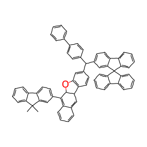 CC1(C)c2ccccc2-c2ccc(C3=c4ccccc4=CC4c5ccc(C(c6ccc(-c7ccccc7)cc6)c6ccc7c(c6)C6(c8ccccc8-c8ccccc86)c6ccccc6-7)cc5OC34)cc21